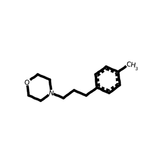 Cc1ccc(CCCN2CCOCC2)cc1